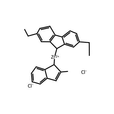 CCc1ccc2c(c1)[CH]([Zr+2][CH]1C(C)=Cc3ccccc31)c1cc(CC)ccc1-2.[Cl-].[Cl-]